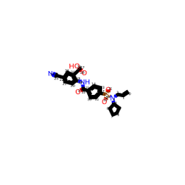 C=CCN(C1CCCC1)S(=O)(=O)c1ccc(C(=O)Nc2ccc(C#N)cc2C(=O)O)cc1